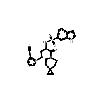 N#Cc1cccn1CCC(NS(=O)(=O)c1ccc2cc[nH]c2c1)C(=O)N1CCC2(CC1)CC2